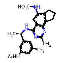 CC(=O)Nc1cc([C@@H](C)Nc2nc(C)nc3c4c(c(NC(=O)O)cc23)CCC4)cc(C(F)(F)F)c1